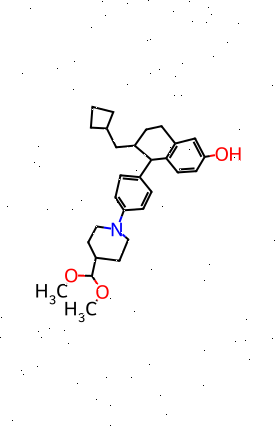 COC(OC)C1CCN(c2ccc(C3c4ccc(O)cc4CCC3CC3CCC3)cc2)CC1